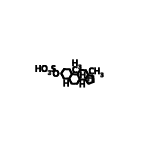 C[C@]12CC[C@@H](OS(=O)(=O)O)C[C@@H]1CC[C@@H]1[C@@H]2CC[C@]2(C)C=CC[C@@H]12